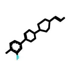 C/C=C/C1CCC(C2CC=C(c3ccc(C)c(F)c3)CC2)CC1